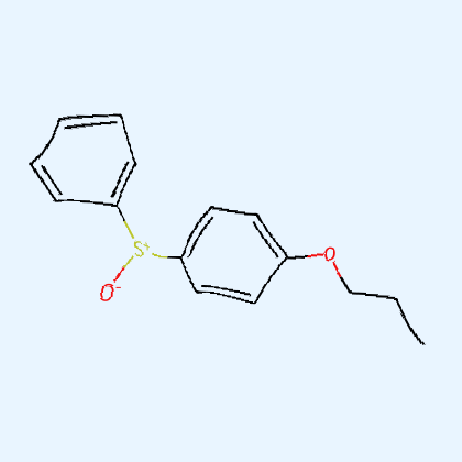 CCCOc1ccc([S+]([O-])c2ccccc2)cc1